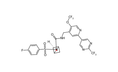 O=C(NCc1cc(-c2cnc(C(F)(F)F)nc2)ncc1OC(F)(F)F)[C@@H]1C2CC(C2)N1S(=O)(=O)c1ccc(F)cc1